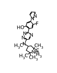 CN(c1cnc(-c2cc(F)c(-n3cccn3)cc2O)nn1)C1CC(C)(C)NC(C)(C)C1